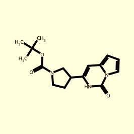 CC(C)(C)OC(=O)N1CCC(c2cc3cccn3c(=O)[nH]2)C1